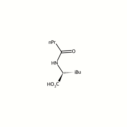 CCCC(=O)N[C@H](C(=O)O)[C@@H](C)CC